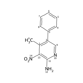 Cc1c(-c2ccccc2)cnc(N)c1[N+](=O)[O-]